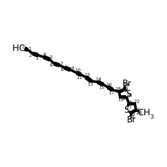 C#CC#CC#CC#CC#CC#CC#CC#CC#Cc1cc(-c2cc(C)c(Br)s2)sc1Br